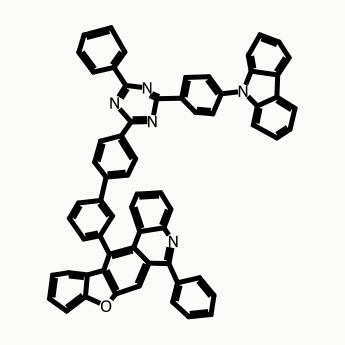 c1ccc(-c2nc(-c3ccc(-c4cccc(-c5c6c(cc7c(-c8ccccc8)nc8ccccc8c57)oc5ccccc56)c4)cc3)nc(-c3ccc(-n4c5ccccc5c5ccccc54)cc3)n2)cc1